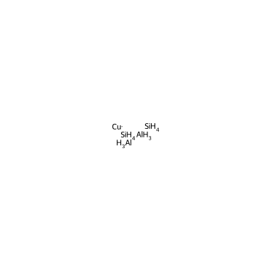 [AlH3].[AlH3].[Cu].[SiH4].[SiH4]